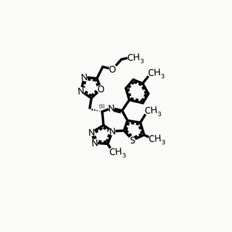 CCOCc1nnc(C[C@@H]2N=C(c3ccc(C)cc3)c3c(sc(C)c3C)-n3c(C)nnc32)o1